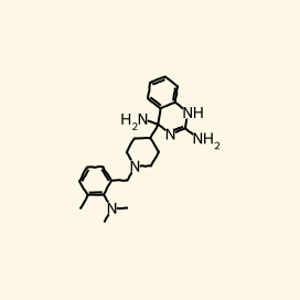 Cc1cccc(CN2CCC(C3(N)N=C(N)Nc4ccccc43)CC2)c1N(C)C